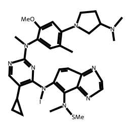 COc1cc(N2CCC(N(C)C)C2)c(C)cc1N(C)c1ncc(C2CC2)c(N(I)c2ccc3nccnc3c2N(C)SC)n1